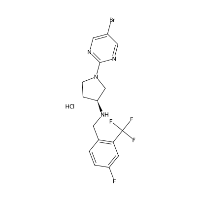 Cl.Fc1ccc(CN[C@H]2CCN(c3ncc(Br)cn3)C2)c(C(F)(F)F)c1